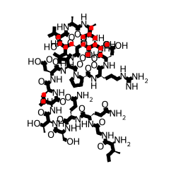 CC[C@H](C)[C@H](N)C(=O)NCC(=O)N[C@@H](CCC(N)=O)C(=O)N[C@@H](CCC(N)=O)C(=O)N[C@@H](CO)C(=O)N[C@H](C(=O)N[C@H](C(=O)N[C@@H](CO)C(=O)N[C@@H](CC(=O)O)C(=O)N[C@H](C(=O)N1CCC[C@H]1C(=O)N[C@@H](CCCNC(=N)N)C(=O)N[C@@H](CC(=O)O)C(=O)N[C@@H](CC(C)C)C(=O)N[C@@H](CCC(=O)O)C(=O)N[C@H](C(=O)N[C@H](C(=O)N[C@@H](C)C(=O)N[C@@H](C)C(=O)N[C@H](C(=O)O)[C@@H](C)O)C(C)C)C(C)C)C(C)C)C(C)C)[C@@H](C)O